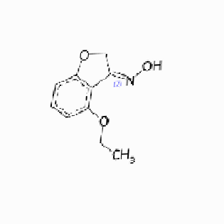 CCOc1cccc2c1/C(=N/O)CO2